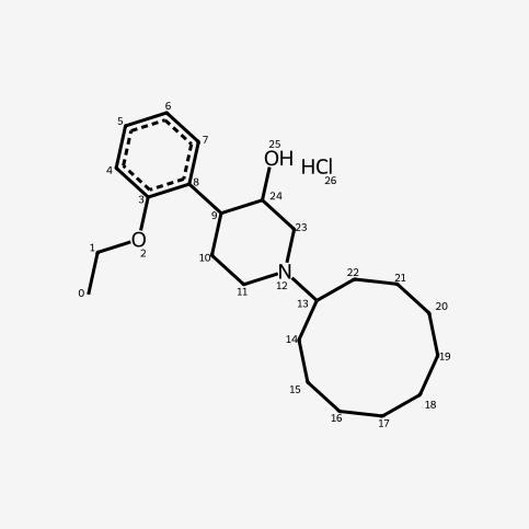 CCOc1ccccc1C1CCN(C2CCCCCCCCC2)CC1O.Cl